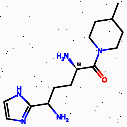 CC1CCN(C(=O)[C@@H](N)CCC(N)c2ncc[nH]2)CC1